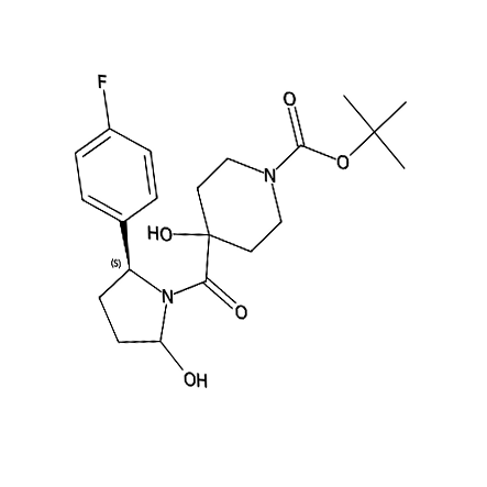 CC(C)(C)OC(=O)N1CCC(O)(C(=O)N2C(O)CC[C@H]2c2ccc(F)cc2)CC1